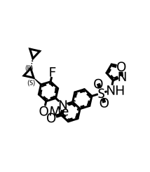 COc1cc([C@H]2C[C@@H]2C2CC2)c(F)cc1-n1c(=O)ccc2cc(S(=O)(=O)Nc3ccon3)ccc21